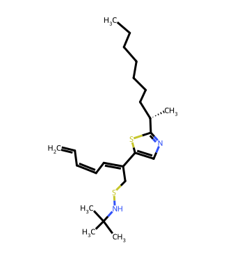 C=C/C=C\C=C(/CSNC(C)(C)C)c1cnc([C@@H](C)CCCCCCC)s1